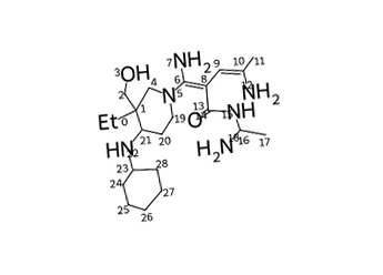 CCC1(CO)CN(/C(N)=C(/C=C(/C)N)C(=O)NC(C)N)CCC1NC1CCCCC1